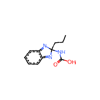 CCCC1(NC(=O)O)N=c2ccccc2=N1